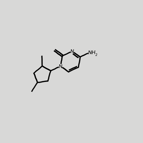 C=C1N=C(N)C=CN1C1CC(C)CC1C